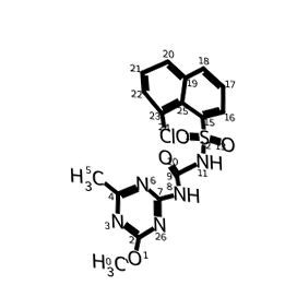 COc1nc(C)nc(NC(=O)NS(=O)(=O)c2cccc3cccc(Cl)c23)n1